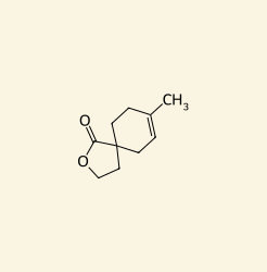 CC1=CCC2(CCOC2=O)CC1